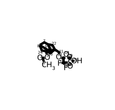 CC(=O)OC12CC3CC(CC(COC(=O)C(F)(F)S(=O)(=O)O)(C3)C1)C2